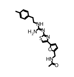 CC(=O)NCc1ccc(-c2csc(/N=C(\N)NCCc3ccc(C)cc3)n2)o1